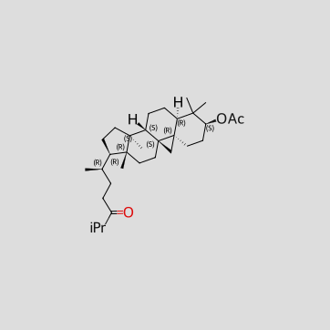 CC(=O)O[C@H]1CC[C@]23C[C@]24CC[C@]2(C)[C@@H]([C@H](C)CCC(=O)C(C)C)CC[C@@]2(C)[C@@H]4CC[C@H]3C1(C)C